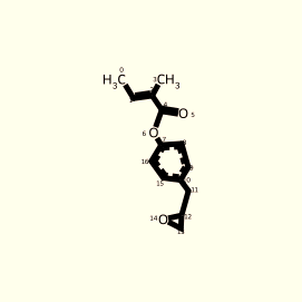 CC=C(C)C(=O)Oc1ccc(CC2CO2)cc1